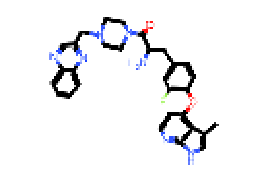 Cc1c[nH]c2nccc(Oc3ccc(CC(N)C(=O)N4CCN(Cc5cnc6ccccc6n5)CC4)cc3F)c12